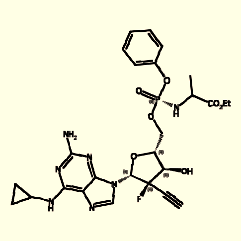 C#C[C@@]1(F)[C@H](O)[C@@H](CO[P@](=O)(NC(C)C(=O)OCC)Oc2ccccc2)O[C@H]1n1cnc2c(NC3CC3)nc(N)nc21